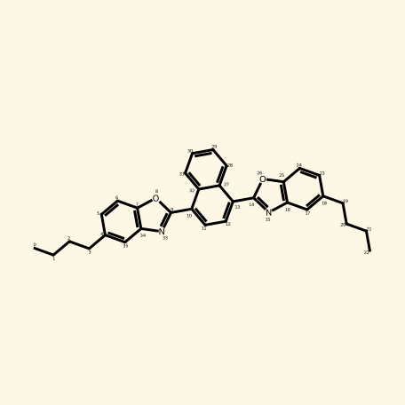 CCCCc1ccc2oc(-c3ccc(-c4nc5cc(CCCC)ccc5o4)c4ccccc34)nc2c1